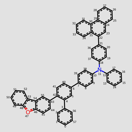 c1ccc(-c2cc(-c3ccc(N(c4ccccc4)c4ccc(-c5cc6ccccc6c6ccccc56)cc4)cc3)ccc2-c2ccc3oc4ccccc4c3c2)cc1